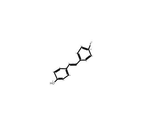 Oc1ccc(/C=C/c2ccc(F)cc2)cc1